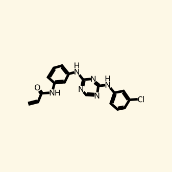 C=CC(=O)Nc1cccc(Nc2ncnc(Nc3cccc(Cl)c3)n2)c1